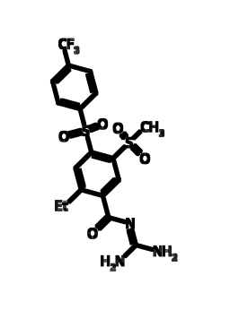 CCc1cc(S(=O)(=O)c2ccc(C(F)(F)F)cc2)c(S(C)(=O)=O)cc1C(=O)N=C(N)N